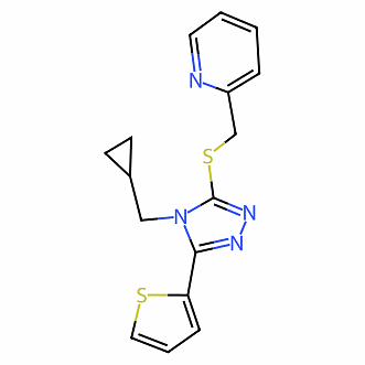 c1ccc(CSc2nnc(-c3cccs3)n2CC2CC2)nc1